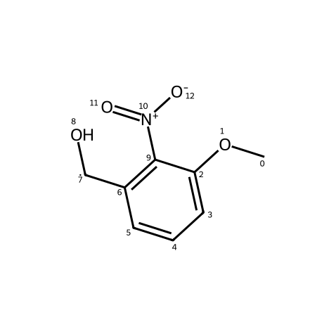 COc1cccc([CH]O)c1[N+](=O)[O-]